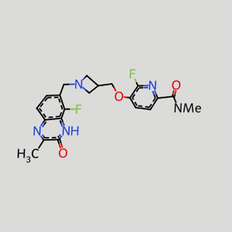 CNC(=O)c1ccc(OCC2CN(Cc3ccc4nc(C)c(=O)[nH]c4c3F)C2)c(F)n1